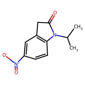 CC(C)N1C(=O)Cc2cc([N+](=O)[O-])ccc21